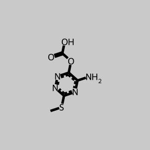 CSc1nnc(OC(=O)O)c(N)n1